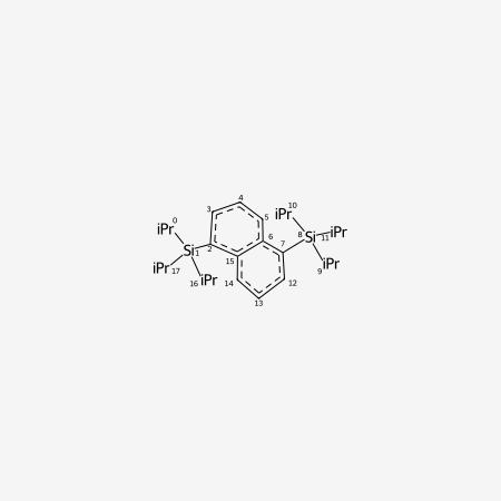 CC(C)[Si](c1cccc2c([Si](C(C)C)(C(C)C)C(C)C)cccc12)(C(C)C)C(C)C